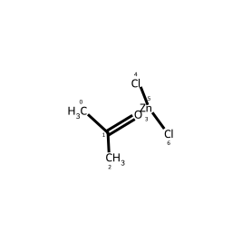 CC(C)=O.[Cl][Zn][Cl]